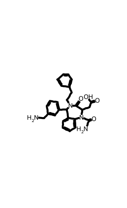 NCc1cccc(C2c3ccccc3N(C(N)=O)C(CC(=O)O)C(=O)N2CCc2ccccc2)c1